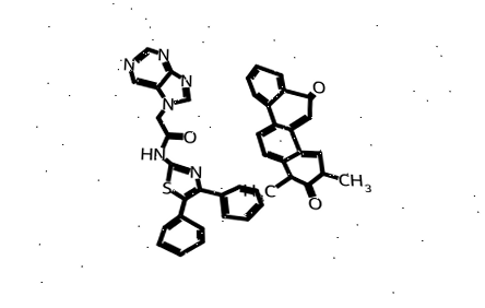 CC1C=c2c(ccc3c2=CC(=O)c2ccccc2-3)C(C)C1=O.O=C(Cn1cnc2ncncc21)Nc1nc(-c2ccccc2)c(-c2ccccc2)s1